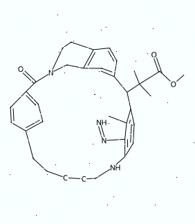 COC(=O)C(C)(C)C1c2ccc3c(c2)CN(CC3)C(=O)c2ccc(cc2)CCCCCNc2ccc1c(C)c2N=N